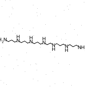 NCCCNCCCNCCCNCCNCCCNCCCN